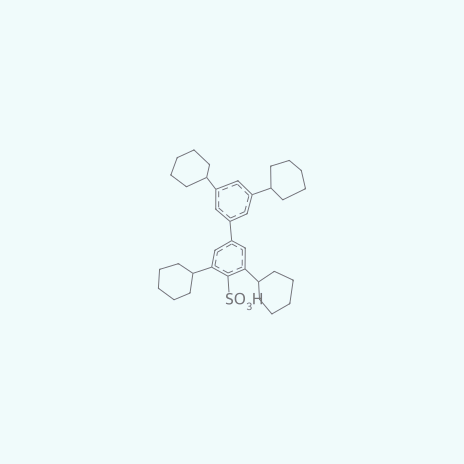 O=S(=O)(O)c1c(C2CCCCC2)cc(-c2cc(C3CCCCC3)cc(C3CCCCC3)c2)cc1C1CCCCC1